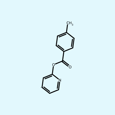 Cc1ccc(C(=O)Oc2c[c]ccn2)cc1